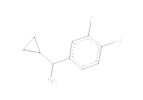 NC(c1ccc(Cl)c(F)c1)C1CC1